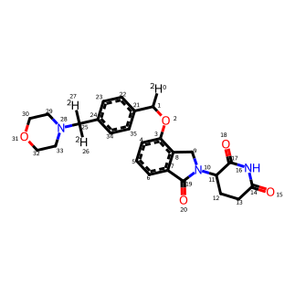 [2H]C(Oc1cccc2c1CN(C1CCC(=O)NC1=O)C2=O)c1ccc(C([2H])([2H])N2CCOCC2)cc1